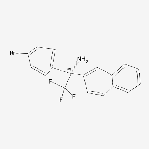 N[C@](c1ccc(Br)cc1)(c1ccc2ccccc2c1)C(F)(F)F